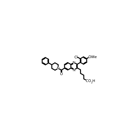 COc1ccc(-c2nc3ccc(C(=O)N4CCC(c5ccccc5)CC4)cc3nc2CCCCC(=O)O)c(Cl)c1